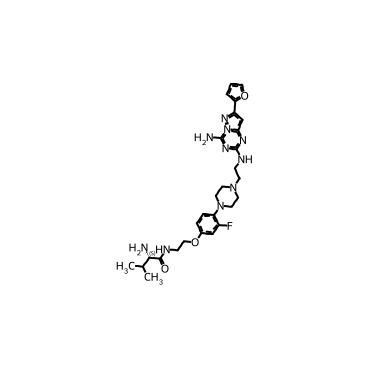 CC(C)[C@H](N)C(=O)NCCOc1ccc(N2CCN(CCNc3nc(N)n4nc(-c5ccco5)cc4n3)CC2)c(F)c1